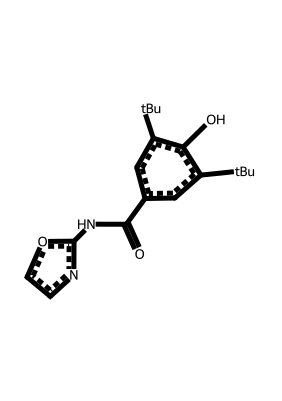 CC(C)(C)c1cc(C(=O)Nc2ncco2)cc(C(C)(C)C)c1O